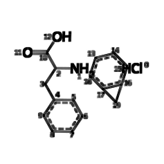 Cl.NC(Cc1ccccc1)C(=O)O.c1ccc2c(c1)C2